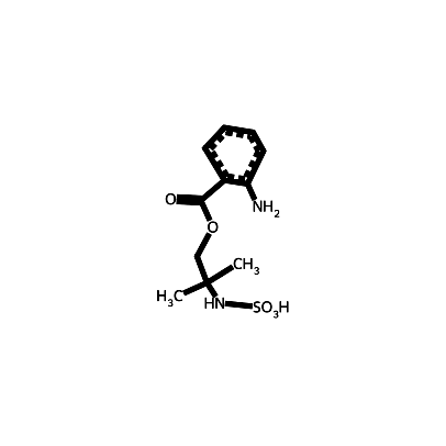 CC(C)(COC(=O)c1ccccc1N)NS(=O)(=O)O